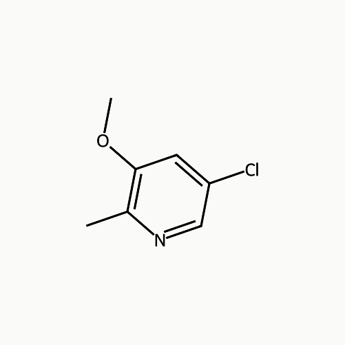 COc1cc(Cl)cnc1C